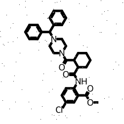 COC(=O)c1cc(Cl)ccc1NC(=O)C1CCCCC1C(=O)N1CCN(C(c2ccccc2)c2ccccc2)CC1